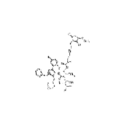 BSC1CC(=O)N(CCOCCNC(=O)OC[C@H](C)NC(=O)N(C[C@@H]2CNC[C@@H]2F)[C@@H](c2nc(-c3cc(F)ccc3F)cn2Cc2ccccc2)C2CCOCC2)C1=O